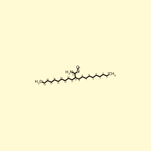 CCCCCCCCCCC(CCCCCCCCCC)C(N)N=O